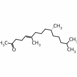 CC(=O)CC/C=C(\C)CCC[C@H](C)CCCC(C)C